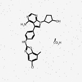 CC(=O)O.Cc1cc(Cl)cc2nc(Nc3ccc(-c4cn(C5CCC(O)C5)c5ncnc(N)c45)cc3)oc12